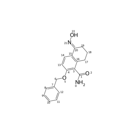 NC(=O)c1c(OCc2ccccc2)ccc2c1CCCC2=NO